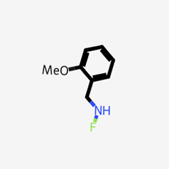 COc1ccccc1CNF